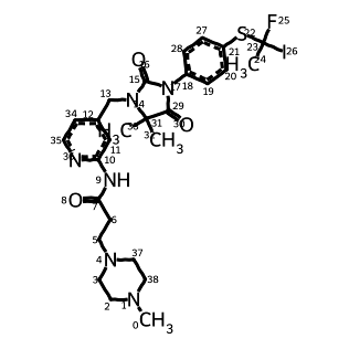 CN1CCN(CCC(=O)Nc2cc(CN3C(=O)N(c4ccc(SC(C)(F)I)cc4)C(=O)C3(C)C)ccn2)CC1